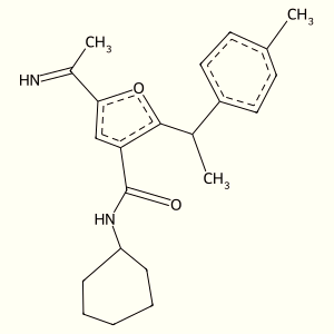 CC(=N)c1cc(C(=O)NC2CCCCC2)c(C(C)c2ccc(C)cc2)o1